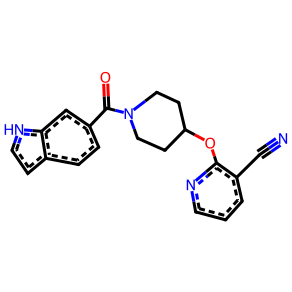 N#Cc1cccnc1OC1CCN(C(=O)c2ccc3cc[nH]c3c2)CC1